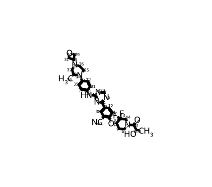 CC(O)C(=O)N1CC[C@H](Oc2ccc(-c3ncnc(Nc4ccc(N5CCN(C6COC6)C[C@@H]5C)cc4)n3)cc2C#N)C(F)(F)C1